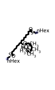 CCCCCC/C=C\CSC(=O)CCCCCCCC(CCCCCCCC(=O)SC/C=C\CCCCCC)COC(=O)CC(C)(C)CC(C)(C)CN(C)C